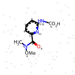 CON(C)C(=O)c1cccc(NC(=O)O)n1